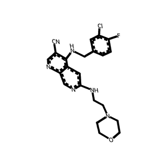 N#Cc1cnc2cnc(NCCN3CCOCC3)cc2c1NCc1ccc(F)c(Cl)c1